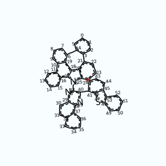 c1ccc2c(c1)-c1cccc3c4ccccc4c4c(c13)c1c-2cccc1n4-c1nc2ccc3ccccc3c2nc1-c1cccc2c1sc1ccccc12